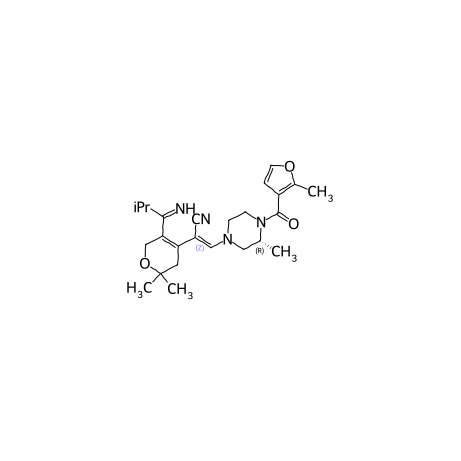 Cc1occc1C(=O)N1CCN(/C=C(\C#N)C2=C(C(=N)C(C)C)COC(C)(C)C2)C[C@H]1C